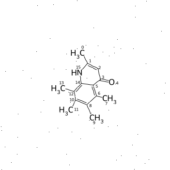 Cc1cc(=O)c2c(C)c(C)c(C)c(C)c2[nH]1